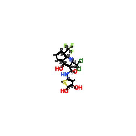 O=C(Nc1cc(O)c(O)s1)c1c(C(Cl)Cl)nc2c(C(F)(F)F)cccc2c1O